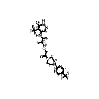 C/C(=N\OCC(=O)N1CCN(c2ncc(C(F)(F)F)cn2)CC1)C(C)Nc1cn[nH]c(=O)c1C(F)(F)F